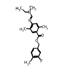 CCN(C)/C=N/c1cc(C)c(C(=O)OCc2ccc(C)c(F)c2)cc1C